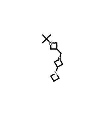 CC(C)(C)N1CC(CN2CC(N3CCC3)C2)C1